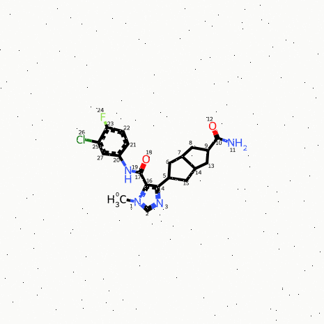 Cn1cnc(C2CC3CC(C(N)=O)CC3C2)c1C(=O)Nc1ccc(F)c(Cl)c1